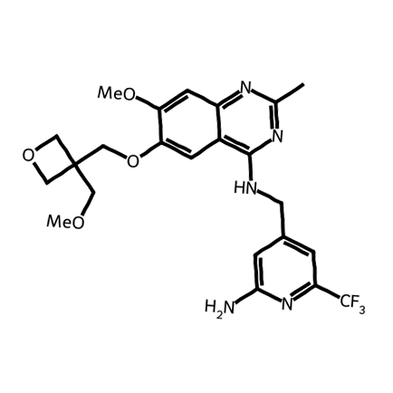 COCC1(COc2cc3c(NCc4cc(N)nc(C(F)(F)F)c4)nc(C)nc3cc2OC)COC1